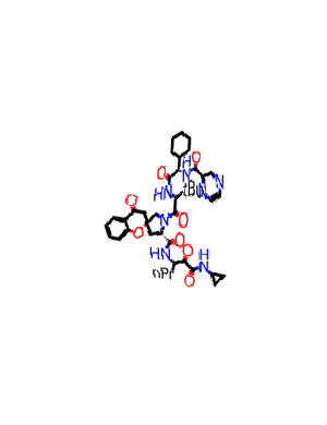 CCCC(NC(=O)[C@@H]1CC2(CC(=O)c3ccccc3O2)CN1C(=O)C(NC(=O)[C@@H](NC(=O)c1cnccn1)C1CCCCC1)C(C)(C)C)C(=O)C(=O)NC1CC1